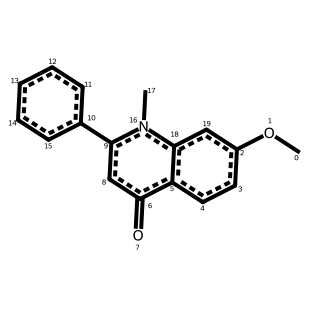 COc1ccc2c(=O)cc(-c3ccccc3)n(C)c2c1